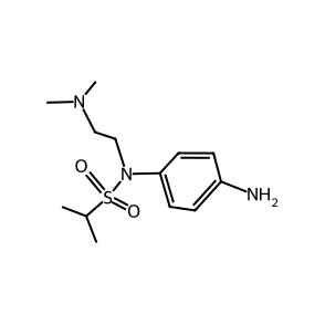 CC(C)S(=O)(=O)N(CCN(C)C)c1ccc(N)cc1